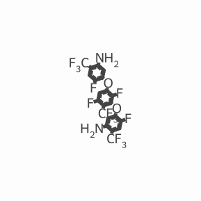 Nc1cc(Oc2cc(F)c(C(F)(F)F)c(Oc3cc(N)c(C(F)(F)F)cc3F)c2F)c(F)cc1C(F)(F)F